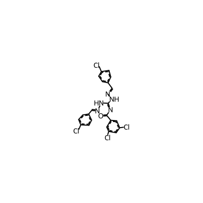 O=C(N=C(NN=Cc1ccc(Cl)cc1)NN=Cc1ccc(Cl)cc1)c1cc(Cl)cc(Cl)c1